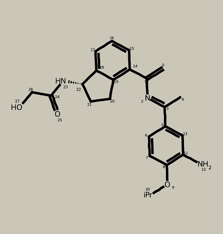 C=C(/N=C(\C)c1ccc(OC(C)C)c(N)c1)c1cccc2c1CC[C@@H]2NC(=O)CO